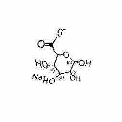 O=C([O-])C1O[C@@H](O)[C@@H](O)[C@@H](O)[C@@H]1O.[Na+]